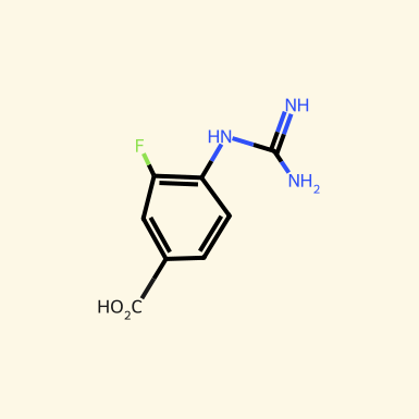 N=C(N)Nc1ccc(C(=O)O)cc1F